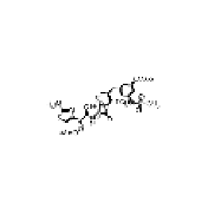 CON=C(C(=O)N[C@@H]1C(=O)N2C(C(=O)O)=C(Cc3cc(NS(C)(=O)=O)cc(OC)c3)CS[C@H]12)c1csc(N)n1